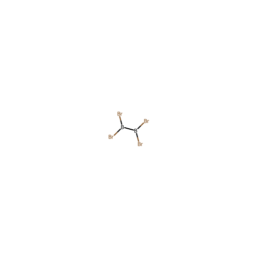 BrB(Br)B(Br)Br